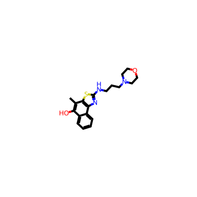 Cc1c(O)c2ccccc2c2nc(NCCCN3CCOCC3)sc12